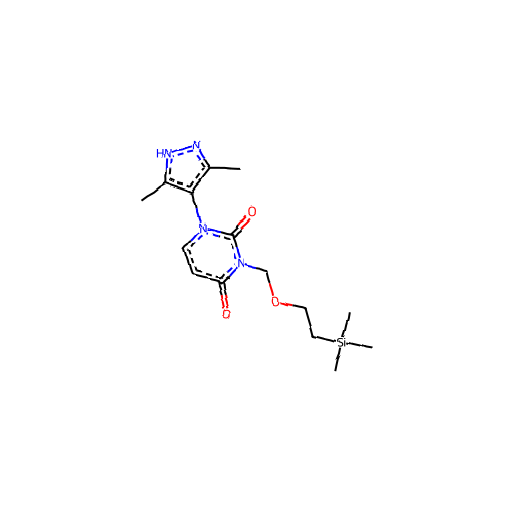 Cc1n[nH]c(C)c1-n1ccc(=O)n(COCC[Si](C)(C)C)c1=O